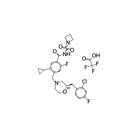 O=C(NS(=O)(=O)N1CCC1)c1cc(C2CC2)c(CN2CCO[C@H](Cc3ccc(F)cc3Cl)C2)cc1F.O=C(O)C(F)(F)F